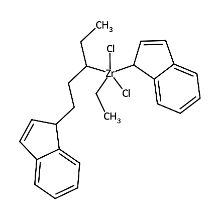 CC[CH](CCC1C=Cc2ccccc21)[Zr]([Cl])([Cl])([CH2]C)[CH]1C=Cc2ccccc21